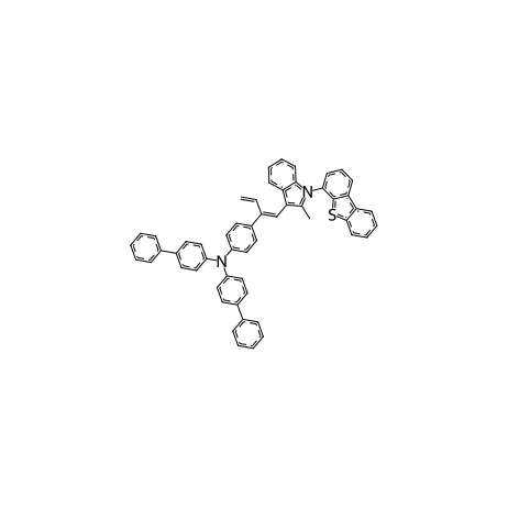 C=C/C(=C\c1c(C)n(-c2cccc3c2sc2ccccc23)c2ccccc12)c1ccc(N(c2ccc(-c3ccccc3)cc2)c2ccc(-c3ccccc3)cc2)cc1